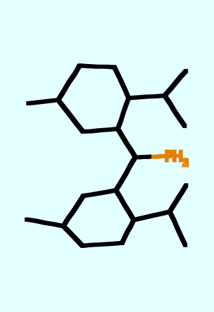 CC1CCC(C(C)C)C(C(P)C2CC(C)CCC2C(C)C)C1